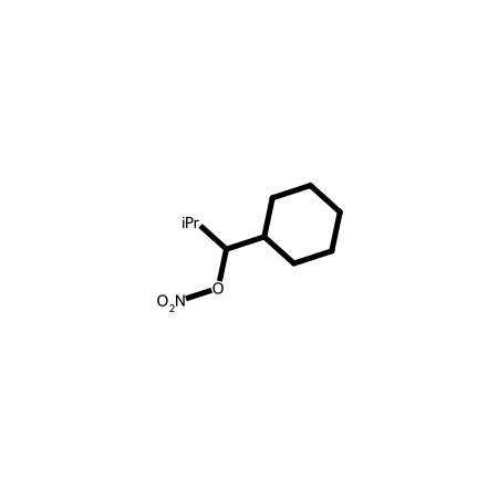 CC(C)C(O[N+](=O)[O-])C1CCCCC1